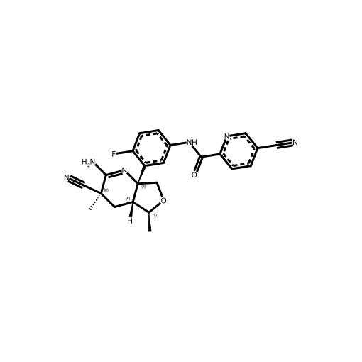 C[C@@H]1OC[C@@]2(c3cc(NC(=O)c4ccc(C#N)cn4)ccc3F)N=C(N)[C@](C)(C#N)C[C@@H]12